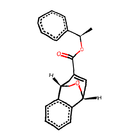 C[C@@H](OC(=O)C1=C[C@H]2O[C@@H]1c1ccccc12)c1ccccc1